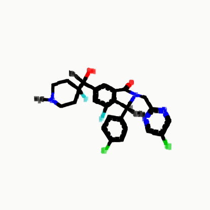 CCC(O)(c1cc(F)c2c(c1)C(=O)N(Cc1ncc(Cl)cn1)[C@]2(OC)c1ccc(Cl)cc1)C1(F)CCN(C)CC1